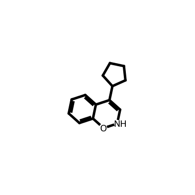 C1=C(C2CCCC2)c2ccccc2ON1